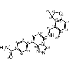 NC(=O)c1ccc(-c2cnc(NCc3c(F)ccc4c3C3CC3O4)n3cnnc23)cc1